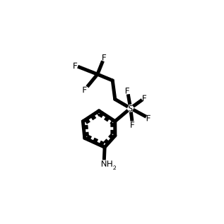 Nc1cccc(S(F)(F)(F)(F)CCC(F)(F)F)c1